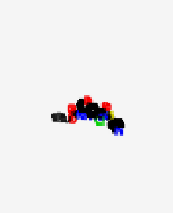 CC(C)(C)OC(=O)N[C@H]1CCOc2cc(C(=O)NSc3ccncc3)c(Cl)cc21